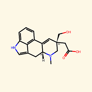 CN1C[C@@](CO)(CC(=O)O)C=C2c3cccc4[nH]cc(c34)C[C@H]21